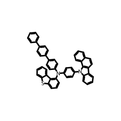 c1ccc(-c2ccc(-c3ccc(N(c4ccc(-n5c6ccccc6c6ccc7ccccc7c65)cc4)c4cccc5sc6ccccc6c45)cc3)cc2)cc1